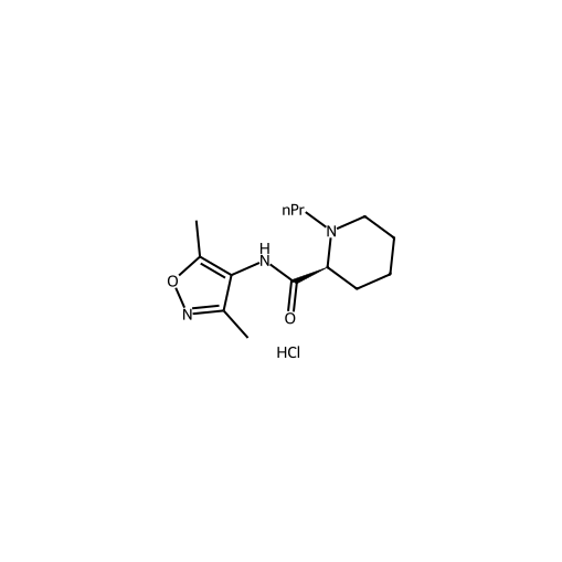 CCCN1CCCC[C@H]1C(=O)Nc1c(C)noc1C.Cl